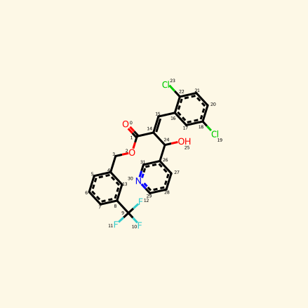 O=C(OCc1cccc(C(F)(F)F)c1)C(=Cc1cc(Cl)ccc1Cl)C(O)c1cccnc1